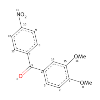 COc1ccc(C(=O)c2ccc([N+](=O)[O-])cc2)cc1OC